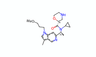 COCCCn1cc(C)c2cnc([C@H](C)N(C(=O)[C@H]3CNCCO3)C3CC3)cc21